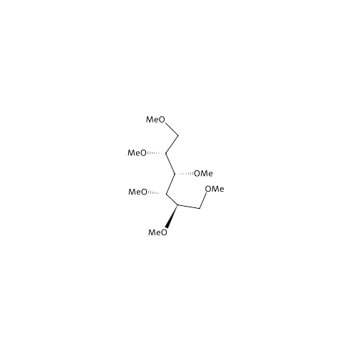 COC[C@@H](OC)[C@H](OC)[C@@H](OC)[C@@H](COC)OC